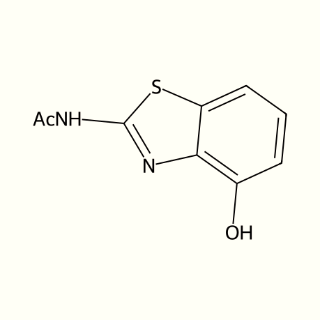 CC(=O)Nc1nc2c(O)cccc2s1